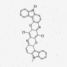 CCn1c2ccccc2c2c3c(ccc21)N=C1C(Cl)=C2OC4C(=NC2=C(Cl)C1O3)C=Cc1c4c2ccccc2n1C